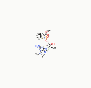 C#C[C@@]1(F)[C@H](O)[C@@H](CO[PH](=O)N(Sc2ccccc2)[C@@H](C)C(=O)OC(C)C)O[C@H]1n1cnc2c(N(C)C3CC3)nc(N)nc21